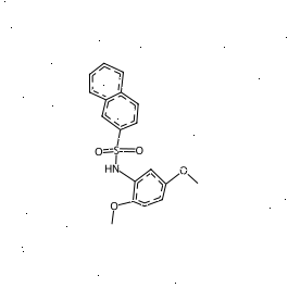 COc1ccc(OC)c(NS(=O)(=O)c2ccc3ccccc3c2)c1